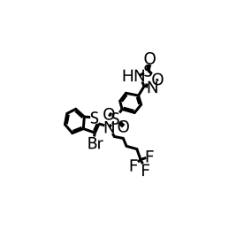 O=S1NC(c2ccc(S(=O)(=O)N(CCCCC(F)(F)F)c3sc4ccccc4c3Br)cc2)=NO1